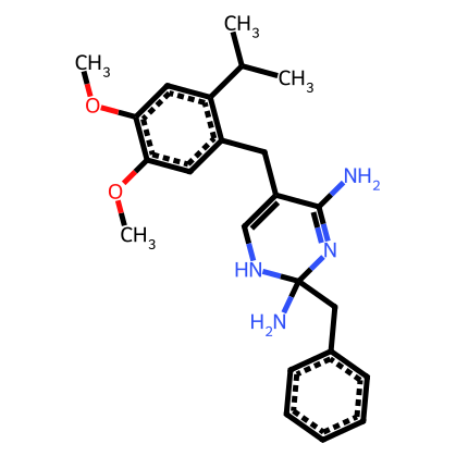 COc1cc(CC2=CNC(N)(Cc3ccccc3)N=C2N)c(C(C)C)cc1OC